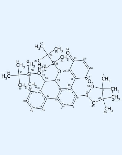 CC1(C)OB(c2ccc3c(c2C2=CC(=O)C=CC2=O)C(O[Si](C)(C)C(C)(C)C)C(O[Si](C)(C)C(C)(C)C)c2ccccc2-3)OC1(C)C